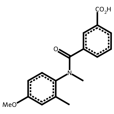 COc1ccc(N(C)C(=O)c2cccc(C(=O)O)c2)c(C)c1